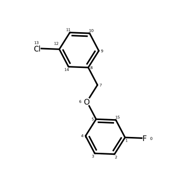 Fc1cc[c]c(OCc2cccc(Cl)c2)c1